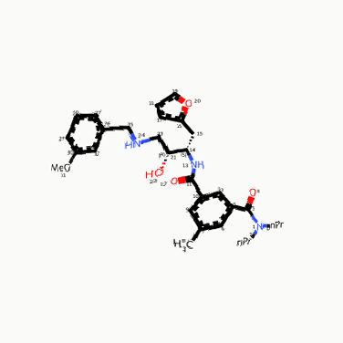 CCCN(CCC)C(=O)c1cc(C)cc(C(=O)N[C@@H](Cc2ccco2)[C@H](O)CNCc2cccc(OC)c2)c1